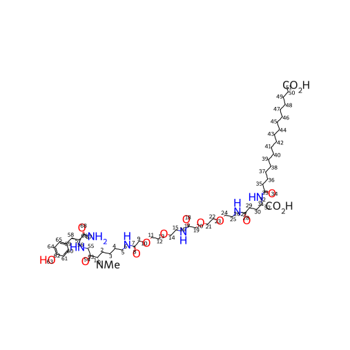 CN[C@@H](CCCCNC(=O)COCCOCCNC(=O)COCCOCCNC(=O)CC[C@H](NC(=O)CCCCCCCCCCCCCCCCC(=O)O)C(=O)O)C(=O)CN[C@@H](Cc1ccc(O)cc1)C(N)=O